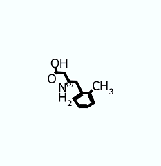 Cc1ccccc1C[C@H](N)CC(=O)O